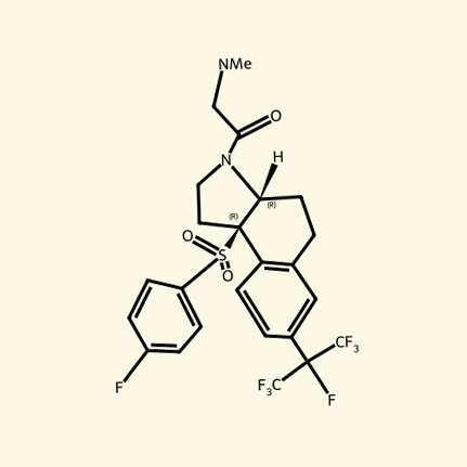 CNCC(=O)N1CC[C@@]2(S(=O)(=O)c3ccc(F)cc3)c3ccc(C(F)(C(F)(F)F)C(F)(F)F)cc3CC[C@@H]12